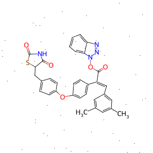 Cc1cc(C)cc(C=C(C(=O)On2nnc3ccccc32)c2ccc(Oc3ccc(CC4SC(=O)NC4=O)cc3)cc2)c1